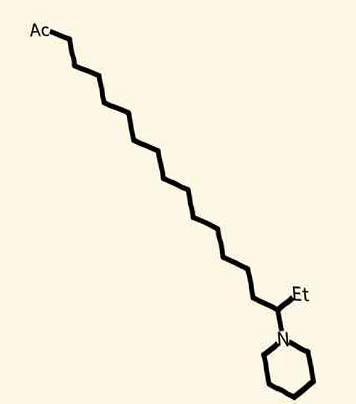 CCC(CCCCCCCCCCCCCCC(C)=O)N1CCCCC1